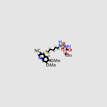 COc1cc2ncc(C#N)c(SCCCCCNS(=O)(=O)NC(=O)OC(C)(C)C)c2cc1OC